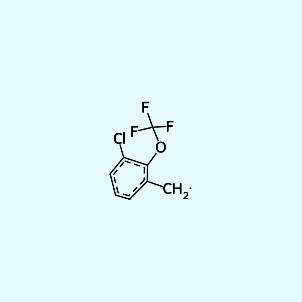 [CH2]c1cccc(Cl)c1OC(F)(F)F